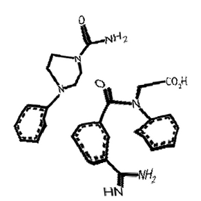 N=C(N)c1cccc(C(=O)N(CC(=O)O)c2ccccc2)c1.NC(=O)N1CCN(c2ccccc2)CC1